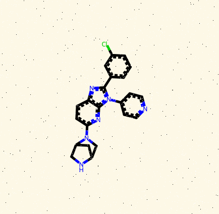 Clc1cccc(-c2nc3ccc(N4CC5CC4CN5)nc3n2-c2ccncc2)c1